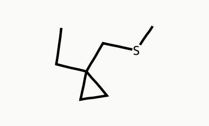 CCC1(CSC)CC1